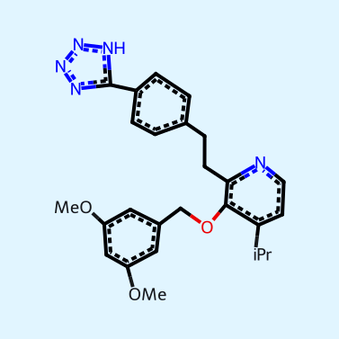 COc1cc(COc2c(C(C)C)ccnc2CCc2ccc(-c3nnn[nH]3)cc2)cc(OC)c1